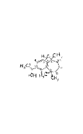 CC(O)c1ccc2c(c1)C(C)(C)CCCC2(C)C